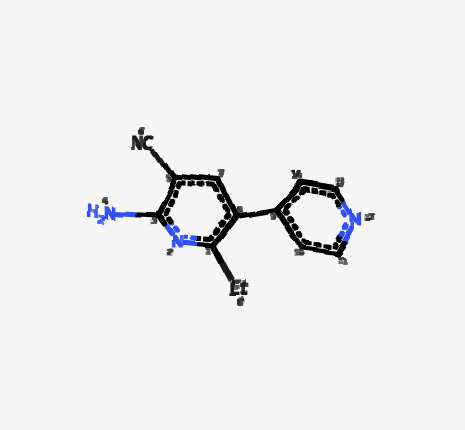 CCc1nc(N)c(C#N)cc1-c1ccncc1